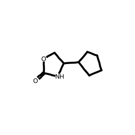 O=C1NC(C2CCCC2)CO1